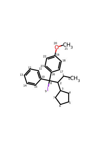 CCC(C1CCCC1)C(I)(c1ccccc1)c1ccc(OC)cc1